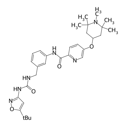 CN1C(C)(C)CC(Oc2ccc(C(=O)Nc3cccc(CNC(=O)Nc4cc(C(C)(C)C)on4)c3)nc2)CC1(C)C